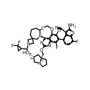 N#Cc1c(N)sc2c(F)ccc(-c3c(Cl)c4c5c(nc(OC[C@@]67CCCN6C[C@H](F)C7)nc5c3F)N3CC5(CCCC3CCO4)CN(C(O)C3CC3(F)F)C5)c12